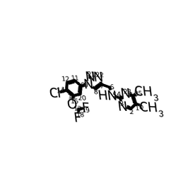 Cc1cnc(NCc2cn(-c3ccc(Cl)c(OC(F)F)c3)nn2)nc1C